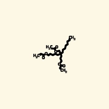 C=CCCCCCCC(CCCCCOC(=O)C=C)(CCCOC(=O)C=C)COC(=O)C=C